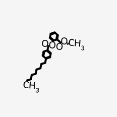 CCCCCCCCCc1ccc(C(=O)Oc2ccccc2C(=O)OCC)cc1